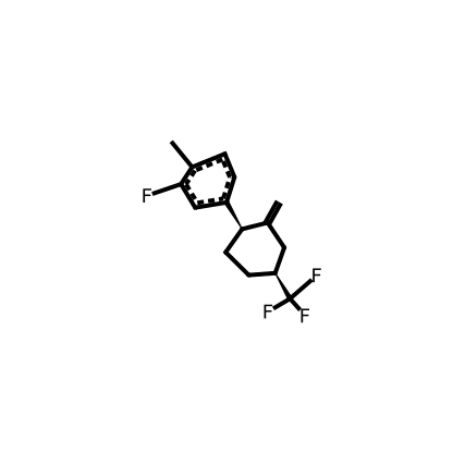 C=C1C[C@@H](C(F)(F)F)CC[C@H]1c1ccc(C)c(F)c1